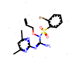 C=CCON(C(N)=Nc1nc(C)cc(C)n1)S(=O)(=O)c1ccccc1Br